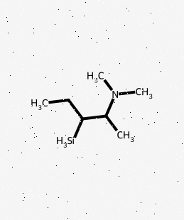 CCC([SiH3])C(C)N(C)C